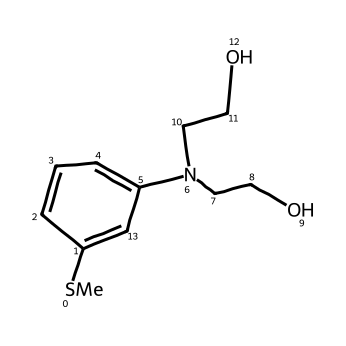 CSc1cccc(N(CCO)CCO)c1